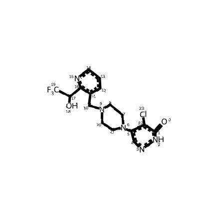 O=c1[nH]ncc(N2CCN(Cc3cccnc3C(O)C(F)(F)F)CC2)c1Cl